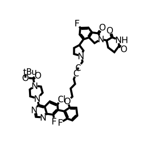 CC(C)(C)OC(=O)N1CCN(c2ncnc3c(F)c(-c4c(F)cccc4OCCCCCCCN4CCC(c5cc(F)cc6c5CN(C5CCC(=O)NC5=O)C6=O)C4)c(Cl)cc23)CC1